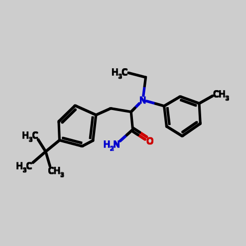 CCN(c1cccc(C)c1)C(Cc1ccc(C(C)(C)C)cc1)C(N)=O